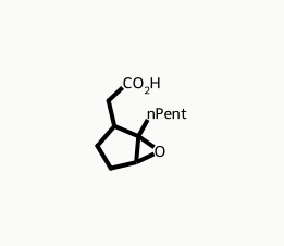 CCCCCC12OC1CCC2CC(=O)O